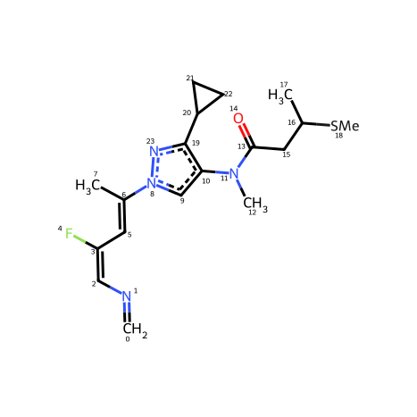 C=N/C=C(F)\C=C(/C)n1cc(N(C)C(=O)CC(C)SC)c(C2CC2)n1